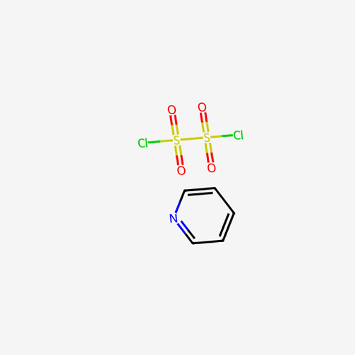 O=S(=O)(Cl)S(=O)(=O)Cl.c1ccncc1